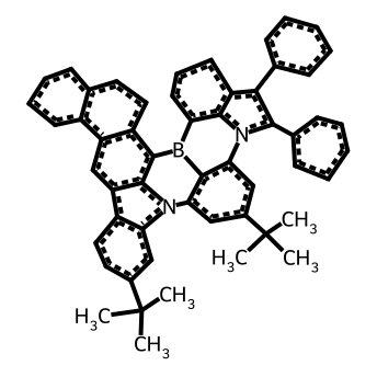 CC(C)(C)c1cc2c3c(c1)-n1c4cc(C(C)(C)C)ccc4c4cc5c(ccc6ccccc65)c(c41)B3c1cccc3c(-c4ccccc4)c(-c4ccccc4)n-2c13